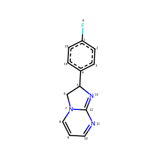 Fc1ccc(C2CN3C=CC=NC3=N2)cc1